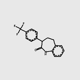 O=C1Nc2ccccc2CCC1c1ccc(C(F)(F)F)cc1